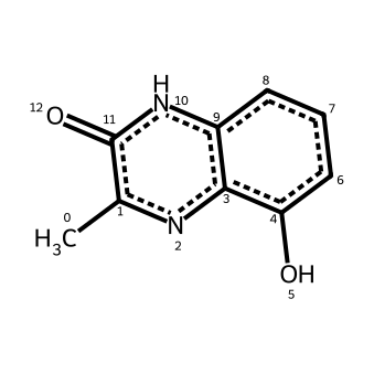 Cc1nc2c(O)cccc2[nH]c1=O